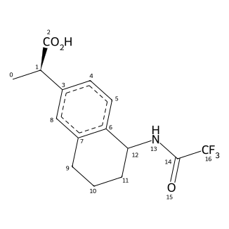 C[C@@H](C(=O)O)c1ccc2c(c1)CCCC2NC(=O)C(F)(F)F